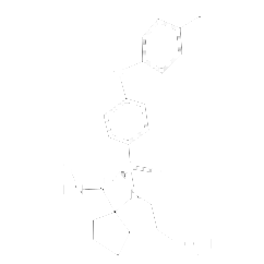 O=C(O)CCN(C1(C(=O)NO)CCCC1)S(=O)(=O)c1ccc(Oc2ccc(F)cc2)cc1